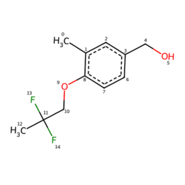 Cc1cc(CO)ccc1OCC(C)(F)F